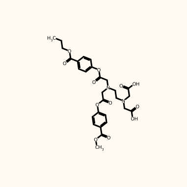 CCCOC(=O)c1ccc(OC(=O)CN(CCN(CC(=O)O)CC(=O)O)CC(=O)Oc2ccc(C(=O)OC)cc2)cc1